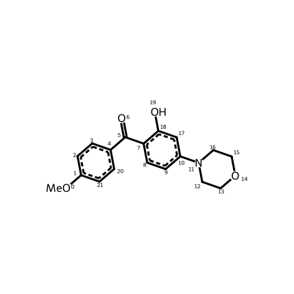 COc1ccc(C(=O)c2ccc(N3CCOCC3)cc2O)cc1